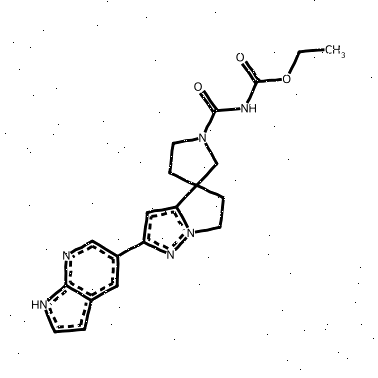 CCOC(=O)NC(=O)N1CCC2(CCn3nc(-c4cnc5[nH]ccc5c4)cc32)C1